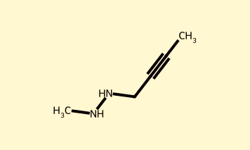 CC#CCNNC